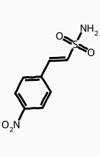 NS(=O)(=O)C=Cc1ccc([N+](=O)[O-])cc1